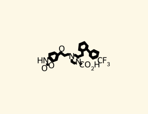 O=C(CCN1CCN(C(=O)O)C(Cc2ccccc2-c2ccc(C(F)(F)F)cc2)C1)c1ccc2[nH]c(=O)oc2c1